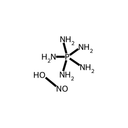 NP(N)(N)(N)N.O=NO